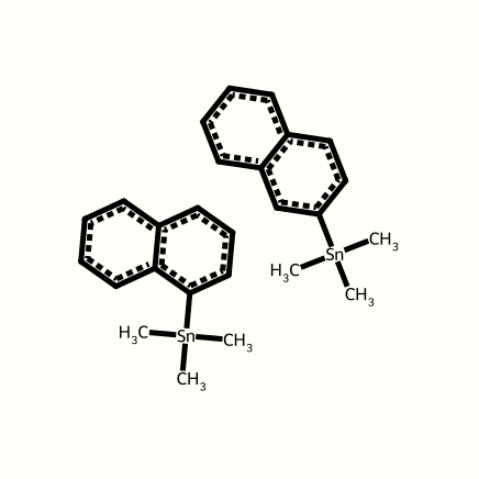 [CH3][Sn]([CH3])([CH3])[c]1ccc2ccccc2c1.[CH3][Sn]([CH3])([CH3])[c]1cccc2ccccc12